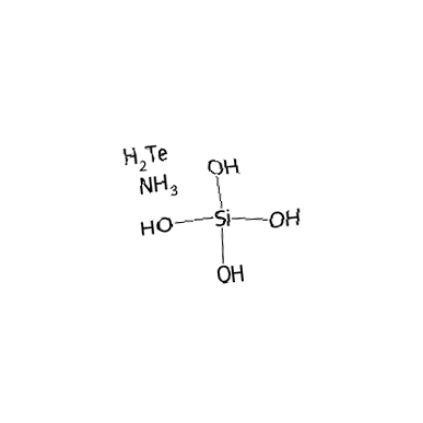 N.O[Si](O)(O)O.[TeH2]